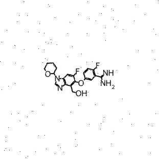 N=C(N)c1cc(Oc2c(F)cc3c(ncn3C3CCCCO3)c2CO)ccc1F